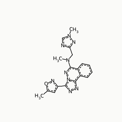 Cc1cc(-c2nnc3c4ccccc4c(N(C)Cc4ncn(C)n4)nn23)no1